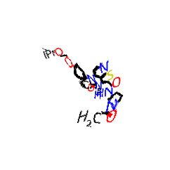 C=CC(=O)N1C=C(NC(=O)c2sc3nccc4c3c2NC(=O)N4c2ccc(OCCOC(C)C)cc2C)CCC1